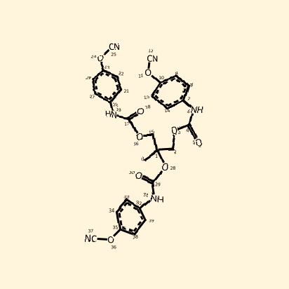 CC(COC(=O)Nc1ccc(OC#N)cc1)(COC(=O)Nc1ccc(OC#N)cc1)OC(=O)Nc1ccc(OC#N)cc1